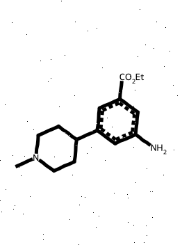 CCOC(=O)c1cc(N)cc(C2CCN(C)CC2)c1